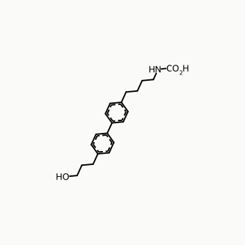 O=C(O)NCCCCc1ccc(-c2ccc(CCCO)cc2)cc1